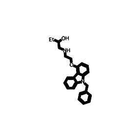 CCC(O)CNCCOc1cccc2c1c1ccccc1n2Cc1ccccc1